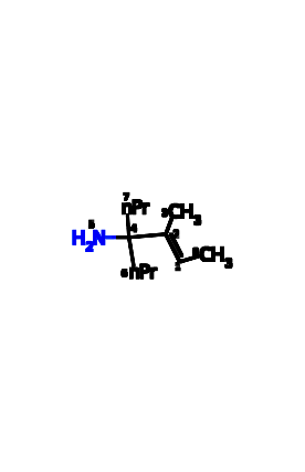 CC=C(C)C(N)(CCC)CCC